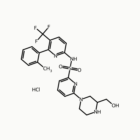 Cc1ccccc1-c1nc(NS(=O)(=O)c2cccc(N3CCNC(CO)C3)n2)ccc1C(F)(F)F.Cl